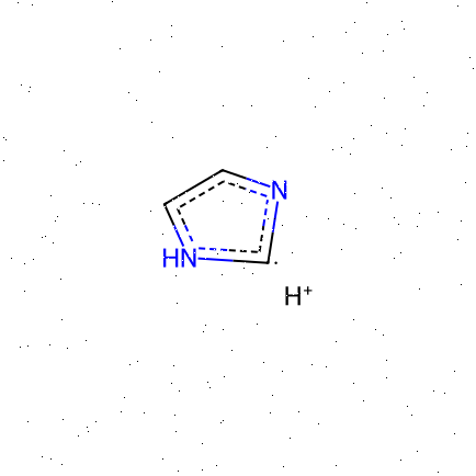 [H+].[c]1ncc[nH]1